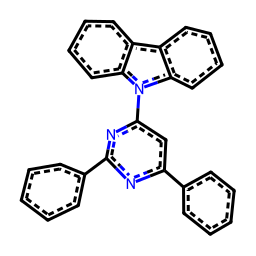 c1ccc(-c2cc(-n3c4ccccc4c4ccccc43)nc(-c3ccccc3)n2)cc1